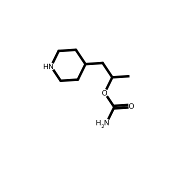 CC(CC1CCNCC1)OC(N)=O